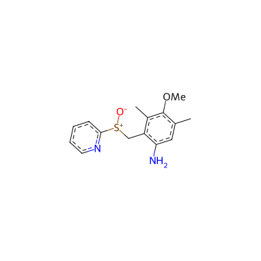 COc1c(C)cc(N)c(C[S+]([O-])c2ccccn2)c1C